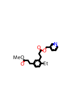 CCc1ccc(CCC(=O)OC)cc1CCC(=O)OCc1cccnc1